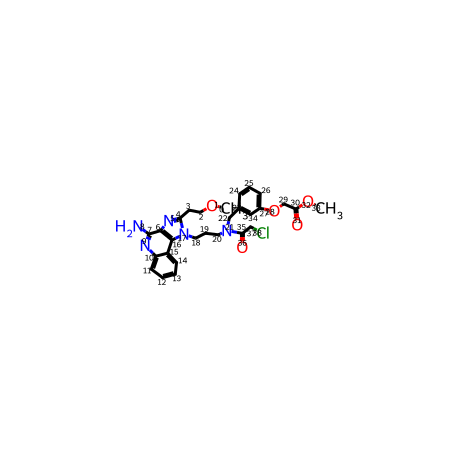 COCCc1nc2c(N)nc3ccccc3c2n1CCCN(Cc1cccc(OCC(=O)OC)c1)C(=O)CCl